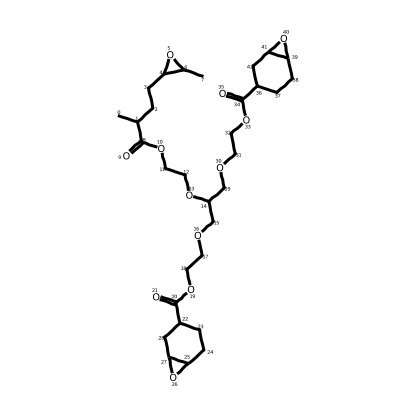 CC(CCC1OC1C)C(=O)OCCOC(COCCOC(=O)C1CCC2OC2C1)COCCOC(=O)C1CCC2OC2C1